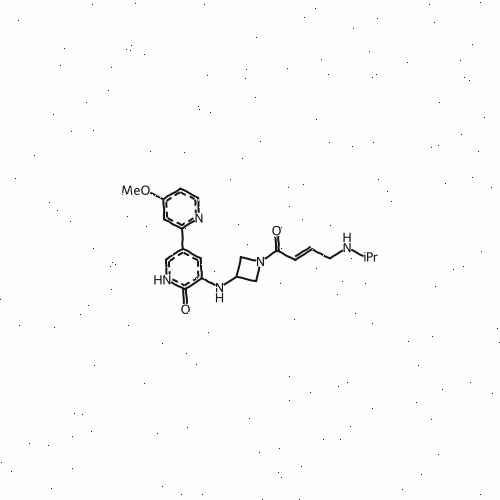 COc1ccnc(-c2c[nH]c(=O)c(NC3CN(C(=O)C=CCNC(C)C)C3)c2)c1